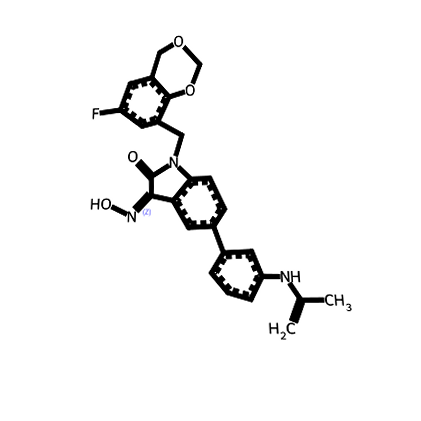 C=C(C)Nc1cccc(-c2ccc3c(c2)/C(=N/O)C(=O)N3Cc2cc(F)cc3c2OCOC3)c1